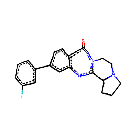 O=c1c2ccc(-c3cccc(F)c3)cc2nc2n1CCN1CCCC21